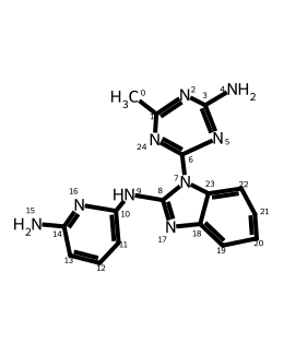 Cc1nc(N)nc(-n2c(Nc3cccc(N)n3)nc3ccccc32)n1